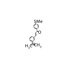 CSc1ccc(C(=O)/C=C/c2cccc(N(C)C)c2)cc1